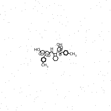 Cc1ccc(S(=O)(=O)N(CC(=O)O)CC(=O)NC2C3CCCCC3C2N(CC(=O)O)S(=O)(=O)c2ccc(C)cc2)cc1